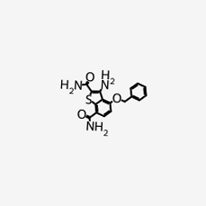 NC(=O)c1sc2c(C(N)=O)ccc(OCc3ccccc3)c2c1N